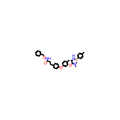 Cc1ccc(SN[C@@H](Cc2ccc(Oc3ccc(CCC(=O)NOCc4ccccc4)cc3)cc2)C(=O)N(C)C)cc1